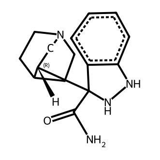 NC(=O)C1([C@H]2CN3CCC2CC3)NNc2ccccc21